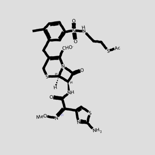 CO/N=C(\C(=O)N[C@@H]1C(=O)N2C([C]=O)=C(Cc3cc(S(=O)(=O)NCCSC(C)=O)ccc3C)CS[C@H]12)c1csc(N)n1